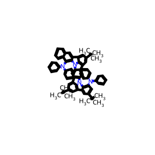 CC(C)(C)c1cc(N(c2ccccc2)c2ccccc2)c2c(c1)c1cc(C(C)(C)C)cc3c4cc5c(cc4n2c31)c1cc(C(C)(C)C)cc2c3cc4ccccc4c(N(c4ccccc4)c4ccccc4)c3n5c12